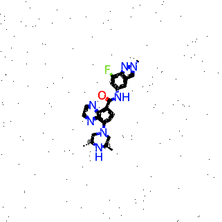 C[C@@H]1CN(c2ccc(C(=O)Nc3cc(F)c4nn(C)cc4c3)c3nccnc23)C[C@@H](C)N1